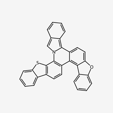 c1ccc2c(c1)cn1c2c2ccc3oc4ccccc4c3c2c2ccc3c4ccccc4sc3c21